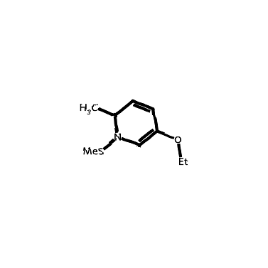 CCOC1=CN(SC)C(C)C=C1